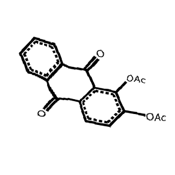 CC(=O)Oc1ccc2c(c1OC(C)=O)C(=O)c1ccccc1C2=O